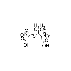 CCC(SC(CC)C(CC(=O)O)[N+](=O)[O-])C(CC(=O)O)[N+](=O)[O-]